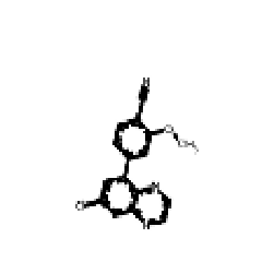 COc1cc(-c2cc(Cl)cc3nccnc23)ccc1C#N